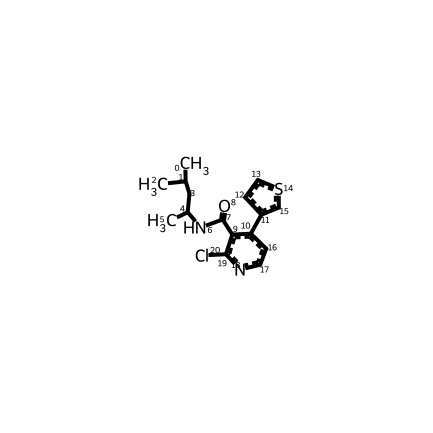 CC(C)CC(C)NC(=O)c1c(-c2ccsc2)ccnc1Cl